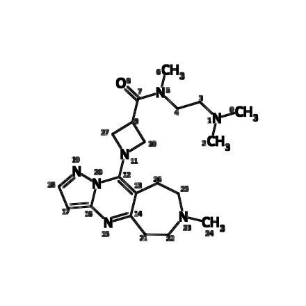 CN(C)CCN(C)C(=O)C1CN(c2c3c(nc4ccnn24)CCN(C)CC3)C1